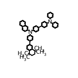 CC1(C)CCC(C)(C)c2cc(-c3ccc(N(c4ccc(-c5ccc(N(c6ccccc6)c6ccccc6)cc5)cc4)c4ccc5ccccc5c4)cc3)ccc21